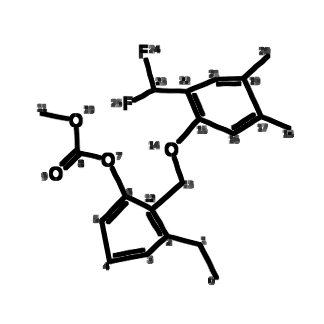 CCc1cccc(OC(=O)OC)c1COc1cc(C)c(C)cc1C(F)F